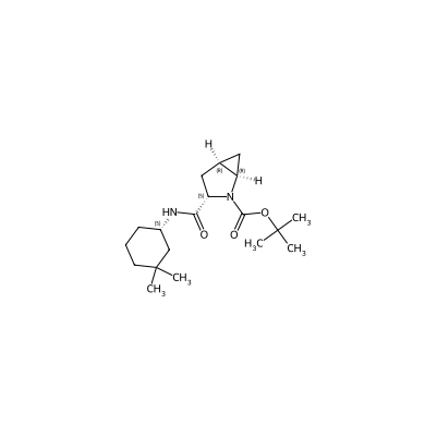 CC1(C)CCC[C@H](NC(=O)[C@@H]2C[C@H]3C[C@H]3N2C(=O)OC(C)(C)C)C1